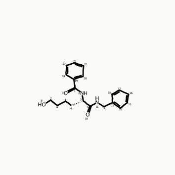 O=C(N[C@@H](CCCCO)C(=O)NCc1ccccc1)c1ccccc1